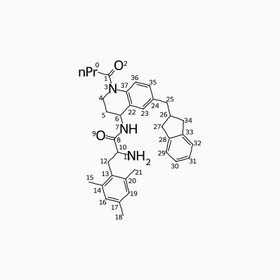 CCCC(=O)N1CCC(NC(=O)C(N)Cc2c(C)cc(C)cc2C)c2cc(CC3Cc4ccccc4C3)ccc21